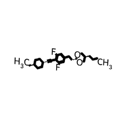 CCCC[C@H]1CO[C@H](CCc2cc(F)c(C#C[C@H]3CC[C@H](CC)CC3)c(F)c2)OC1